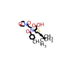 CC1CCC(C(=O)N(CCC(=O)N2CCOCC2)c2cc(C#CC(C)(C)C)sc2C(=O)O)CC1